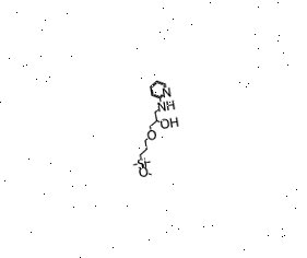 CO[Si](C)(C)CCCOCC(O)CNc1ccccn1